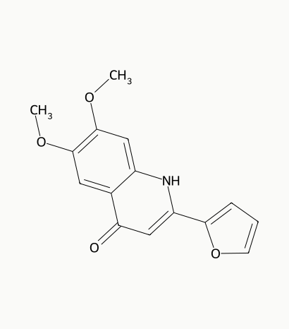 COc1cc2[nH]c(-c3ccco3)cc(=O)c2cc1OC